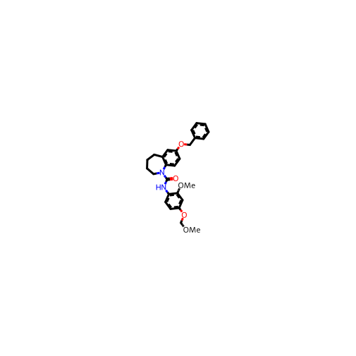 COCOc1ccc(NC(=O)N2CCCCc3cc(OCc4ccccc4)ccc32)c(OC)c1